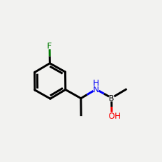 CB(O)NC(C)c1cccc(F)c1